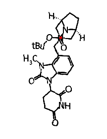 Cn1c(=O)n(C2CCC(=O)NC2=O)c2cccc(CN3C[C@H]4CC[C@@H](C3)N4C(=O)OC(C)(C)C)c21